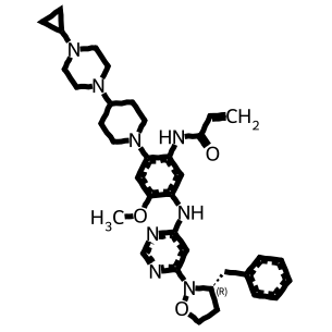 C=CC(=O)Nc1cc(Nc2cc(N3OCC[C@H]3Cc3ccccc3)ncn2)c(OC)cc1N1CCC(N2CCN(C3CC3)CC2)CC1